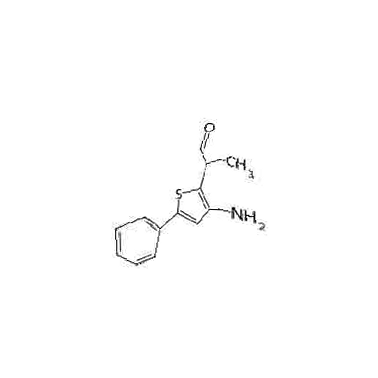 CC(C=O)c1sc(-c2ccccc2)cc1N